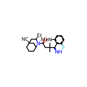 CCC1CC2(C#N)CCCC(C2)N1C(=O)CC(C)(C)C(=N)c1c(F)cccc1NC